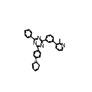 Cc1ncccc1-c1cccc(-c2nc(-c3ccccc3)nc(-c3ccc([C@@H]4C=CC=CC4)cc3)n2)c1